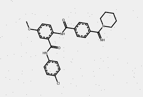 COc1ccc(NC(=O)c2ccc(C(=N)N3CCCCC3)cc2)c(C(=O)Nc2ccc(Cl)cc2)c1